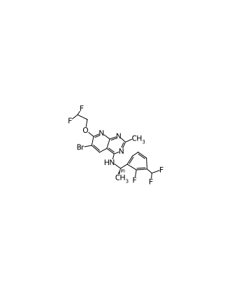 Cc1nc(N[C@H](C)c2cccc(C(F)F)c2F)c2cc(Br)c(OCC(F)F)nc2n1